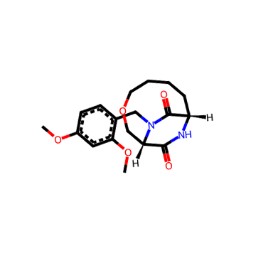 COc1ccc(CN2C(=O)[C@@H]3CCCCOC[C@H]2C(=O)N3)c(OC)c1